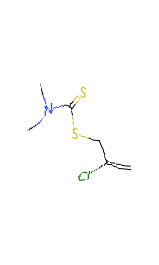 C=C(Cl)CSC(=S)N(C)C